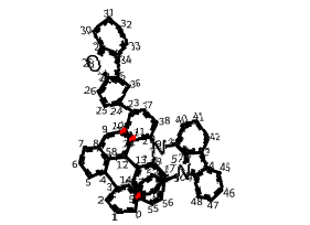 c1ccc(-c2cccc3cccc(-c4ccccc4N(c4ccc(-c5ccc6oc7ccccc7c6c5)cc4)c4cccc5c6ccccc6n(-c6ccccc6)c45)c23)cc1